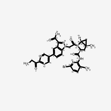 CCC(=O)c1ncc(-c2ccc3c(c2)c(C(C)=O)nn3CC(=O)N2[C@H](C(=O)Nc3nc(Br)ccc3C)C[C@@]3(C)C[C@@H]23)cn1